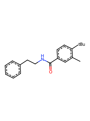 Cc1cc(C(=O)NCCc2ccccc2)ccc1C(C)(C)C